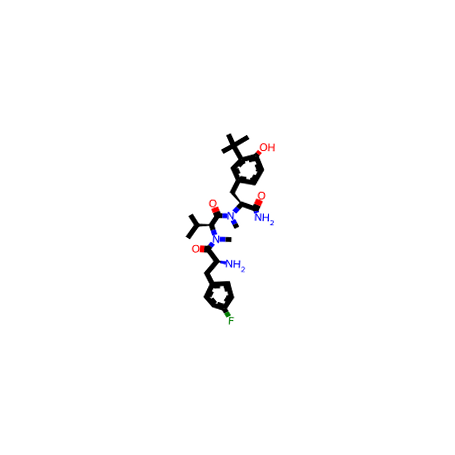 CC(C)[C@@H](C(=O)N(C)[C@@H](Cc1ccc(O)c(C(C)(C)C)c1)C(N)=O)N(C)C(=O)[C@@H](N)Cc1ccc(F)cc1